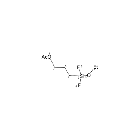 CCO[Si](F)(F)CCCOC(C)=O